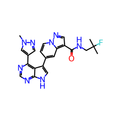 Cn1cc(-c2ncnc3[nH]cc(-c4ccn5ncc(C(=O)NCC(C)(C)F)c5c4)c23)cn1